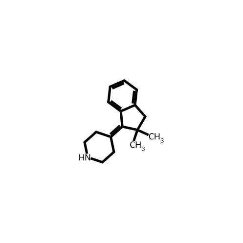 CC1(C)Cc2ccccc2C1=C1CCNCC1